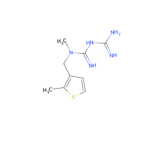 Cc1sccc1CN(C)C(=N)NC(=N)N